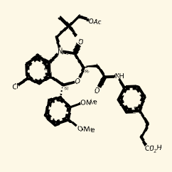 COc1cccc([C@H]2O[C@H](CC(=O)Nc3ccc(CCC(=O)O)cc3)C(=O)N(CC(C)(C)COC(C)=O)c3ccc(Cl)cc32)c1OC